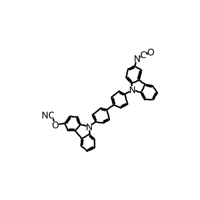 N#COc1ccc2c(c1)c1ccccc1n2-c1ccc(-c2ccc(-n3c4ccccc4c4cc(N=C=O)ccc43)cc2)cc1